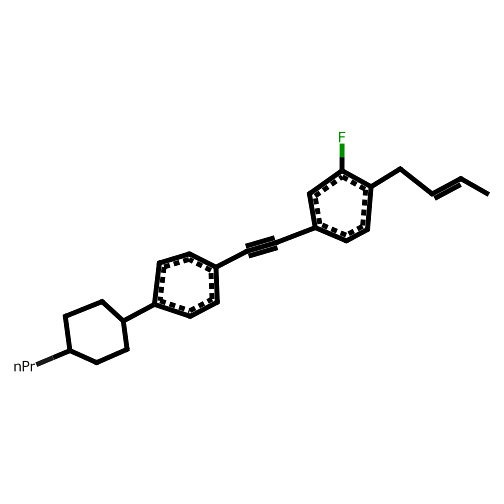 CC=CCc1ccc(C#Cc2ccc(C3CCC(CCC)CC3)cc2)cc1F